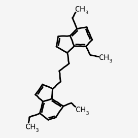 CCc1ccc(CC)c2c1C=CC2CCCC1C=Cc2c(CC)ccc(CC)c21